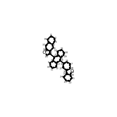 c1ccc2cc3c(-c4c5ccccc5c(-c5ccc6oc7ccccc7c6c5)c5ccccc45)coc3cc2c1